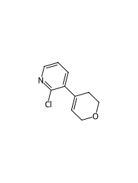 Clc1ncccc1C1=CCOCC1